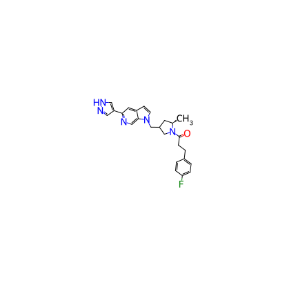 C[C@@H]1CC(Cn2ccc3cc(-c4cn[nH]c4)ncc32)CN1C(=O)CCc1ccc(F)cc1